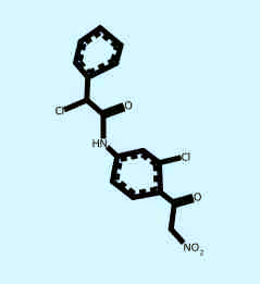 O=C(C[N+](=O)[O-])c1ccc(NC(=O)C(Cl)c2ccccc2)cc1Cl